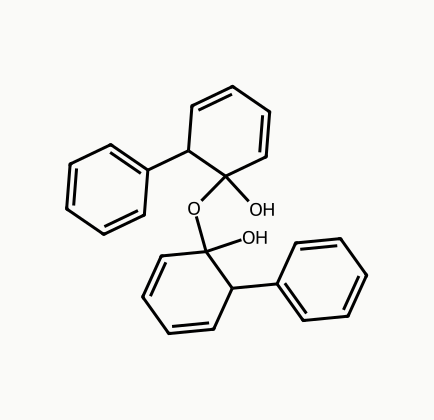 OC1(OC2(O)C=CC=CC2c2ccccc2)C=CC=CC1c1ccccc1